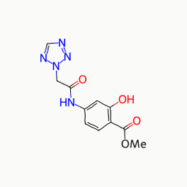 COC(=O)c1ccc(NC(=O)Cn2ncnn2)cc1O